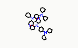 c1ccc(N(c2ccccc2)c2ccc(N(c3ccccc3)c3ccncc3-c3cnccc3N(c3ccccc3)c3ccc(N(c4ccccc4)c4ccccc4)cc3)cc2)cc1